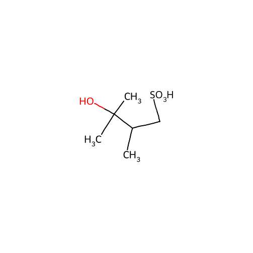 CC(CS(=O)(=O)O)C(C)(C)O